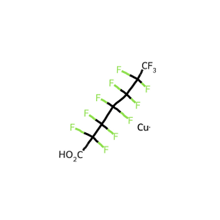 O=C(O)C(F)(F)C(F)(F)C(F)(F)C(F)(F)C(F)(F)C(F)(F)F.[Cu]